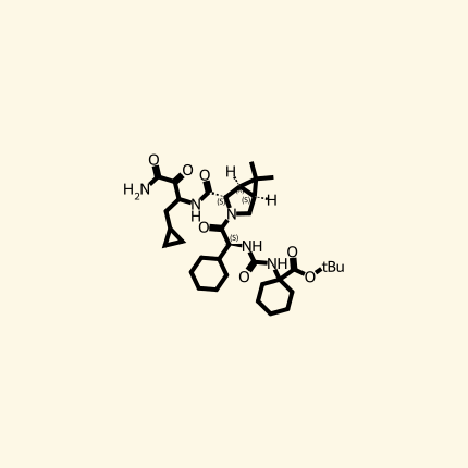 CC(C)(C)OC(=O)C1(NC(=O)N[C@H](C(=O)N2C[C@H]3[C@@H]([C@H]2C(=O)NC(CC2CC2)C(=O)C(N)=O)C3(C)C)C2CCCCC2)CCCCC1